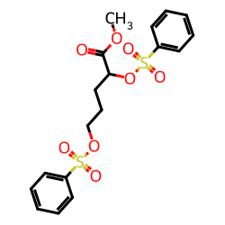 COC(=O)C(CCCOS(=O)(=O)c1ccccc1)OS(=O)(=O)c1ccccc1